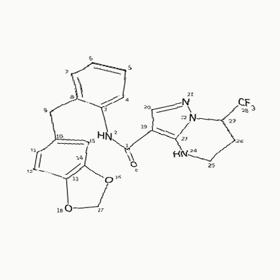 O=C(Nc1ccccc1Cc1ccc2c(c1)OCO2)c1cnn2c1NCCC2C(F)(F)F